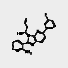 C=CCC(O)n1c(-c2cccnc2N)nc2ccc(-c3cccc(F)c3)nc21